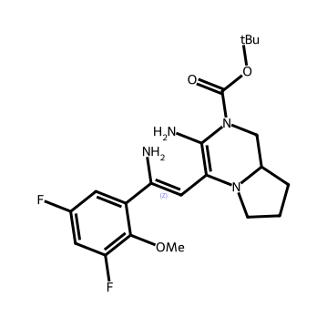 COc1c(F)cc(F)cc1/C(N)=C/C1=C(N)N(C(=O)OC(C)(C)C)CC2CCCN12